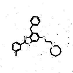 Cc1cccc(-c2nc3c(Cc4ccccc4)cc(OCCN4CCCCCC4)cc3[nH]2)c1